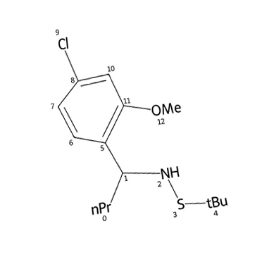 CCCC(NSC(C)(C)C)c1ccc(Cl)cc1OC